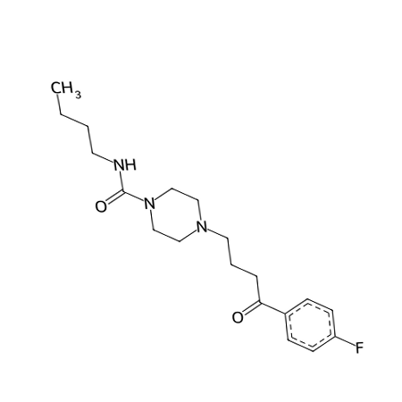 CCCCNC(=O)N1CCN(CCCC(=O)c2ccc(F)cc2)CC1